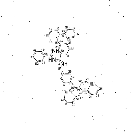 NC(NC(NCc1ccc(-c2c3ccccc3cc3c2ccc2ccccc23)cc1)c1ccc2c3ccccc3c3ccccc3c2c1)c1ccccc1